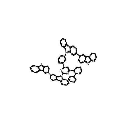 c1ccc(-c2ccccc2-c2cc(-c3cccc(-n4c5ccccc5c5ccc(-c6ccc7sc8ccccc8c7c6)cc54)c3)nc(-n3c4ccccc4c4ccc(-c5ccc6sc7ccccc7c6c5)cc43)n2)cc1